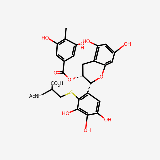 CC(=O)NC(CSc1c([C@H]2Oc3cc(O)cc(O)c3C[C@H]2OC(=O)c2cc(O)c(C)c(O)c2)cc(O)c(O)c1O)C(=O)O